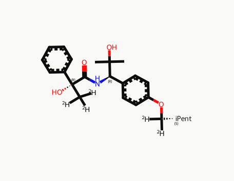 [2H]C([2H])(Oc1ccc([C@@H](NC(=O)[C@](O)(c2ccccc2)C([2H])([2H])[2H])C(C)(C)O)cc1)[C@@H](C)CCC